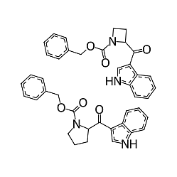 O=C(c1c[nH]c2ccccc12)C1CCCN1C(=O)OCc1ccccc1.O=C(c1c[nH]c2ccccc12)C1CCN1C(=O)OCc1ccccc1